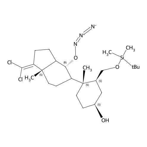 CC(C)(C)[Si](C)(C)OC[C@H]1C[C@@H](O)CC[C@]1(C)C1CC[C@]2(C)C(=C(Cl)Cl)CCC2[C@@H]1ON=[N+]=[N-]